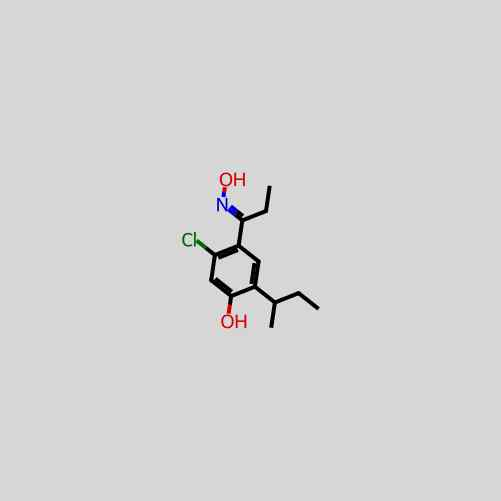 CC/C(=N\O)c1cc(C(C)CC)c(O)cc1Cl